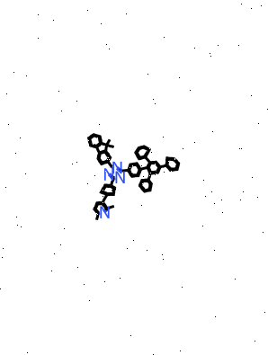 Cc1ccc(-c2ccc(-c3nc(-c4ccc(-c5c(-c6ccccc6)cc(-c6ccccc6)cc5-c5ccccc5)cc4)nc(-c4ccc5c(c4)C(C)(C)c4ccccc4-5)n3)cc2)c(C)n1